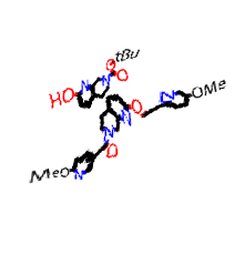 CC(C)(C)OC(=O)N1CCc2ccc(O)nc2C1.COc1ccc(COc2ccc3c(n2)CN(C(=O)c2ccc(OC)nc2)CC3)nc1